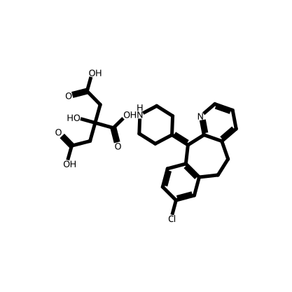 Clc1ccc2c(c1)CCc1cccnc1C2=C1CCNCC1.O=C(O)CC(O)(CC(=O)O)C(=O)O